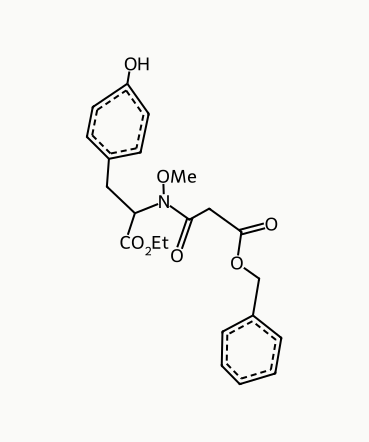 CCOC(=O)C(Cc1ccc(O)cc1)N(OC)C(=O)CC(=O)OCc1ccccc1